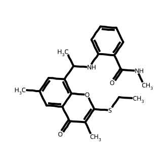 CCSc1oc2c(C(C)Nc3ccccc3C(=O)NC)cc(C)cc2c(=O)c1C